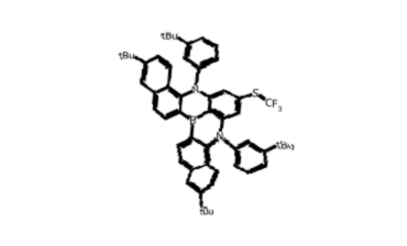 CC(C)(C)c1cccc(N2c3cc(SC(F)(F)F)cc4c3B(c3ccc5cc(C(C)(C)C)ccc5c32)c2ccc3cc(C(C)(C)C)ccc3c2N4c2cccc(C(C)(C)C)c2)c1